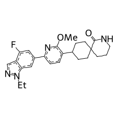 CCn1ncc2c(F)cc(-c3ccc(C4CCC5(CCCNC5=O)CC4)c(OC)n3)cc21